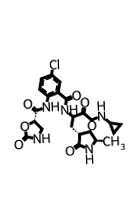 C[C@@H]1C[C@@H](CC(NC(=O)c2cc(Cl)ccc2NC(=O)[C@@H]2CNC(=O)O2)C(=O)C(=O)NC2CC2)C(=O)N1